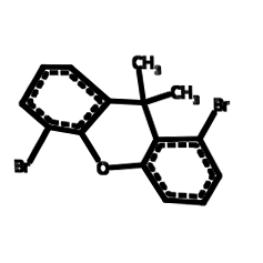 CC1(C)c2cccc(Br)c2Oc2cccc(Br)c21